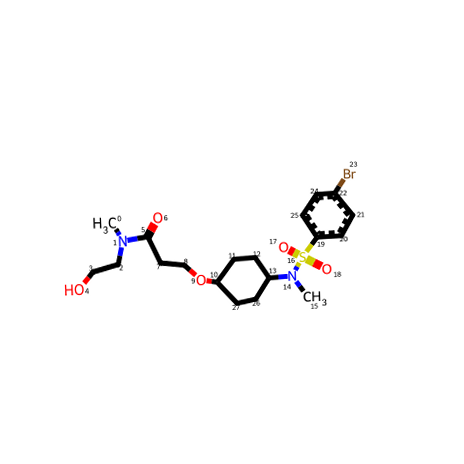 CN(CCO)C(=O)CCOC1CCC(N(C)S(=O)(=O)c2ccc(Br)cc2)CC1